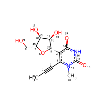 CC#Cc1c([C@@H]2O[C@H](CO)[C@@H](O)[C@H]2O)c(=O)[nH]c(=O)n1C